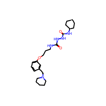 O=C(NCCCOc1cccc(CN2CCCCC2)c1)NNC(=O)NC1CCCCC1